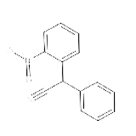 N#CC(c1ccccc1)c1ccccc1[N+](=O)[O-]